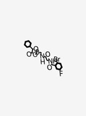 O=C(CNC(=O)c1cc(F)ccc1Br)NCB1OC(=O)C(c2ccccc2)O1